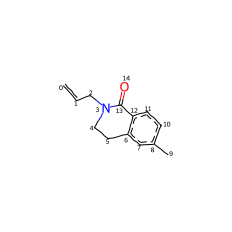 C=CCN1CCc2cc(C)ccc2C1=O